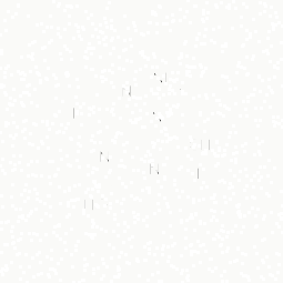 CC[n+]1c(N)nc(O)c2nc(O)cnc21.[I-]